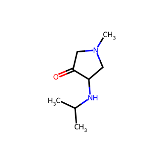 CC(C)NC1CN(C)CC1=O